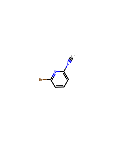 [C-]#[N+]c1cccc(Br)n1